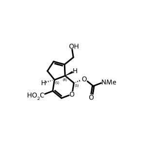 CNC(=O)O[C@@H]1OC=C(C(=O)O)[C@H]2CC=C(CO)[C@H]12